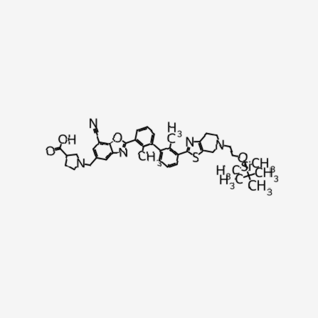 Cc1c(-c2nc3cc(CN4CCC(C(=O)O)C4)cc(C#N)c3o2)cccc1-c1cccc(-c2nc3c(s2)CN(CCO[Si](C)(C)C(C)(C)C)CC3)c1C